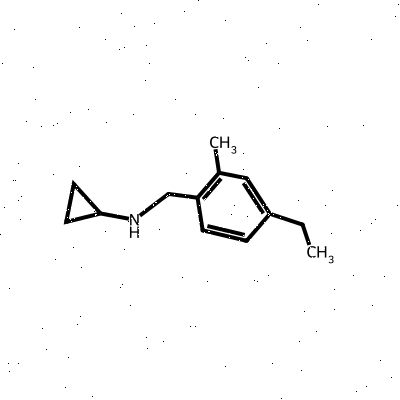 CCc1ccc(CNC2CC2)c(C)c1